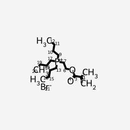 C=C(C)C(=O)OCC[P+](CCCC)(CCCC)CCCC.[Br-]